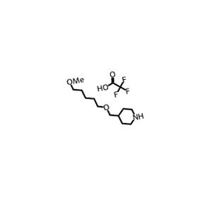 COCCCCCOCC1CCNCC1.O=C(O)C(F)(F)F